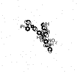 CC(C)c1ccccc1[C@@H]1COCCCN1C1CC2(CCN(c3ccc(C(=O)NS(=O)(=O)c4cc5c(c([N+](=O)[O-])c4)N[C@@H](C4(F)CCOCC4)CO5)c(N4c5cc6cc[nH]c6nc5O[C@H]5COCC[C@@H]54)c3)CC2)C1